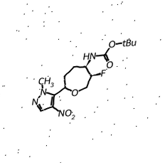 Cn1ncc([N+](=O)[O-])c1C1CC[C@@H](NC(=O)OC(C)(C)C)[C@@H](F)CO1